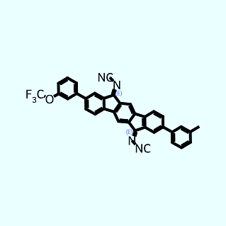 [C-]#[N+]/N=c1\c2cc(-c3cccc(C)c3)ccc2c2cc3/c(=N/C#N)c4cc(-c5cccc(OC(F)(F)F)c5)ccc4c3cc12